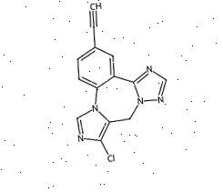 C#Cc1ccc2c(c1)-c1ncnn1Cc1c(Cl)ncn1-2